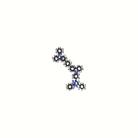 c1ccc(-c2cc(-c3ccc(-n4c5ccccc5c5cc(-c6ccc(-c7ccc8c(c7)c7ccccc7n8-c7ccccc7)cc6)ccc54)cc3)nc(-c3ccccc3)n2)cc1